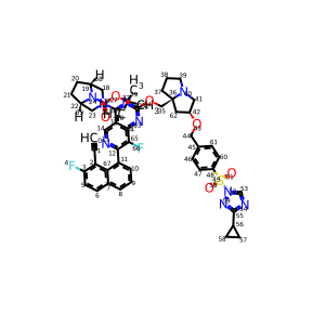 C#Cc1c(F)ccc2cccc(-c3ncc4c(N5C[C@H]6CC[C@@H](C5)N6C(=O)OC(C)(C)C)nc(OC[C@@]56CCCN5C[C@@H](OCc5ccc(S(=O)(=O)n7cnc(C8CC8)n7)cc5)C6)nc4c3F)c12